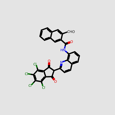 O=Cc1cc2ccccc2cc1C(=O)Nc1cccc2ccc(C3C(=O)c4c(Cl)c(Cl)c(Cl)c(Cl)c4C3=O)nc12